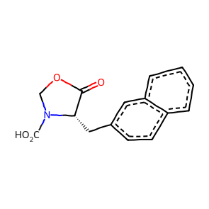 O=C1OCN(C(=O)O)[C@H]1Cc1ccc2ccccc2c1